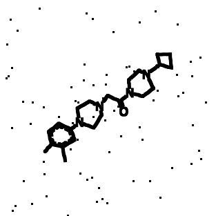 Cc1ccc(N2CCN(CC(=O)N3CCN(C4CCC4)CC3)CC2)cc1C